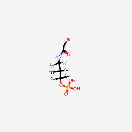 [2H]C([2H])(NC(=O)CBr)C([2H])([2H])C([2H])([2H])OP(=O)(O)O